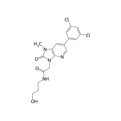 Cn1c(=O)n(CC(=O)NCCCO)c2ncc(-c3cc(Cl)cc(Cl)c3)cc21